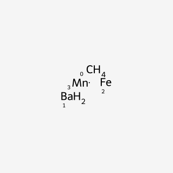 C.[BaH2].[Fe].[Mn]